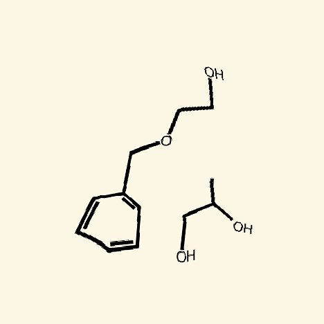 CC(O)CO.OCCOCc1ccccc1